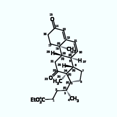 CCOC(=O)CC[C@@H](C)[C@H]1CC[C@H]2[C@@H]3C=CC4=CC(=O)CC[C@]4(C)[C@H]3CC(=O)[C@]12C